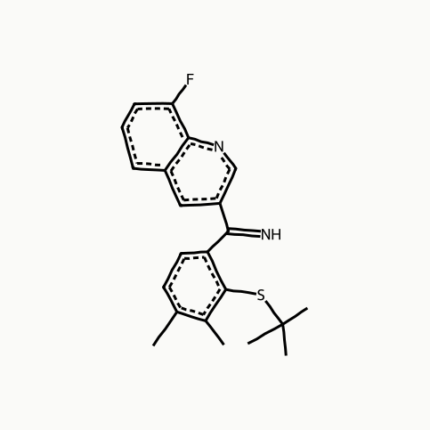 Cc1ccc(C(=N)c2cnc3c(F)cccc3c2)c(SC(C)(C)C)c1C